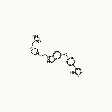 NC(=O)C[C@H]1CCN(CCn2ncc3cc(Oc4ccc(-c5ccn[nH]5)cc4)ccc32)C1